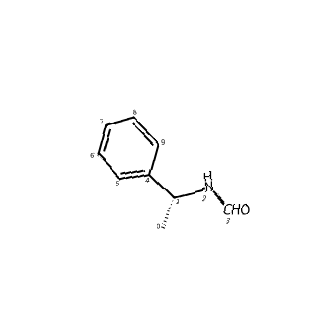 C[C@@H](NC=O)c1ccccc1